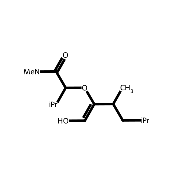 CNC(=O)C(O/C(=C\O)C(C)CC(C)C)C(C)C